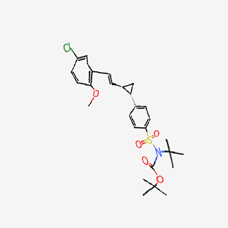 COc1ccc(Cl)cc1/C=C/[C@H]1C[C@@H]1c1ccc(S(=O)(=O)N(C(=O)OC(C)(C)C)C(C)(C)C)cc1